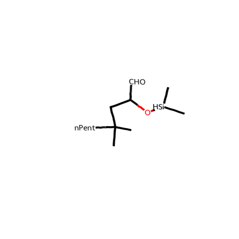 CCCCCC(C)(C)CC(C=O)O[SiH](C)C